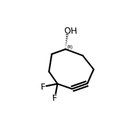 O[C@@H]1CCC#CC(F)(F)CC1